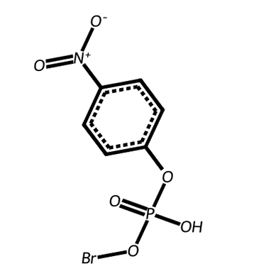 O=[N+]([O-])c1ccc(OP(=O)(O)OBr)cc1